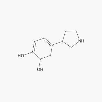 OC1=CC=C(C2CCNC2)CC1O